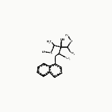 CCOC(C)C(O)(C(C)OCC)C(Cc1cccc2ccccc12)[N+](=O)[O-]